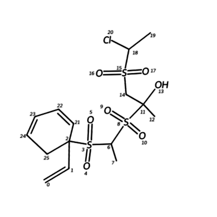 C=CC1(S(=O)(=O)C(C)S(=O)(=O)C(C)(O)CS(=O)(=O)C(C)Cl)C=CC=CC1